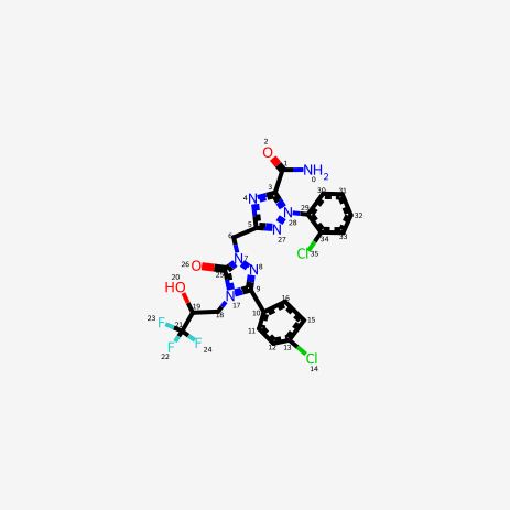 NC(=O)c1nc(Cn2nc(-c3ccc(Cl)cc3)n(CC(O)C(F)(F)F)c2=O)nn1-c1ccccc1Cl